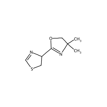 CC1(C)COC(C2CSC=N2)=N1